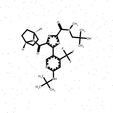 CN(CC(C)(C)O)C(=O)c1nc(C(=O)N2[C@H]3CC[C@H]2CC3)c(-c2cnc(NC(C)(C)C)cc2C(F)(F)F)s1